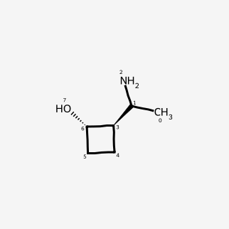 CC(N)[C@H]1CC[C@@H]1O